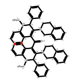 CCCCCN1c2ccncc2C(C(=O)C2=C(N3CCc4ccccc4C3)C(c3ccccc3)N(CCCCC)c3ccncc32)=C(N2CCc3ccccc3C2)C1c1ccccc1